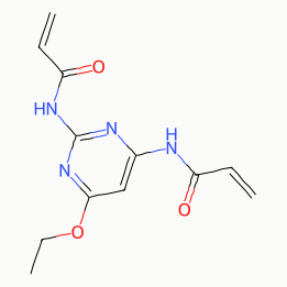 C=CC(=O)Nc1cc(OCC)nc(NC(=O)C=C)n1